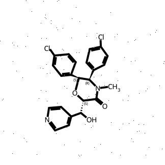 CN1C(=O)[C@H](C(O)c2ccncc2)O[C@@H](c2ccc(Cl)cc2)[C@H]1c1ccc(Cl)cc1